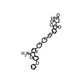 NC(=O)c1ccc(C2CCN(C3CCN(C4CN(c5ccc6c(c5)C(=O)N(C5CCC(=O)NC5=O)C6=O)C4)CC3)CC2)nc1-c1ccc(Oc2ccccc2)cc1